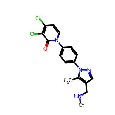 CCNCc1cnn(-c2ccc(-n3ccc(Cl)c(Cl)c3=O)cc2)c1C(F)(F)F